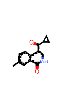 Cc1ccc2c(C(=O)C3CC3)c[nH]c(=O)c2c1